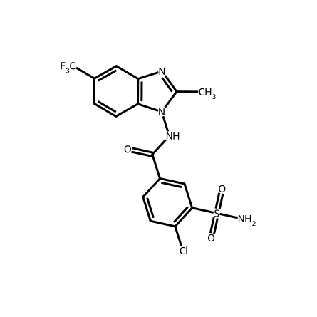 Cc1nc2cc(C(F)(F)F)ccc2n1NC(=O)c1ccc(Cl)c(S(N)(=O)=O)c1